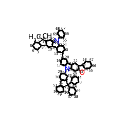 CC1(C)c2ccccc2-c2cc3c4cc(-c5ccc6c(c5)c5cc7c(cc5n6-c5ccc6c(c5)C(c5ccccc5)(c5ccccc5)c5ccccc5-6)oc5ccccc57)ccc4n(-c4ccccc4)c3cc21